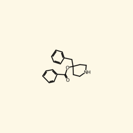 O=C(OC1(Cc2ccccc2)CCNCC1)c1ccccc1